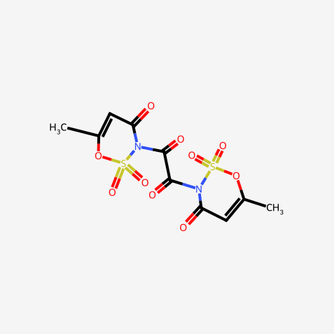 CC1=CC(=O)N(C(=O)C(=O)N2C(=O)C=C(C)OS2(=O)=O)S(=O)(=O)O1